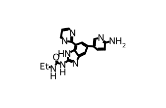 CCNC(=O)Nc1nc2cc(-c3ccc(N)nc3)cc(-c3ncccn3)c2[nH]1